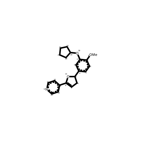 COc1ccc(C2CC=C(c3ccncc3)O2)cc1OC1CCCC1